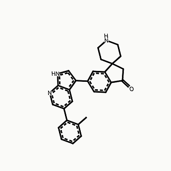 Cc1ccccc1-c1cnc2[nH]cc(-c3ccc4c(c3)C3(CCNCC3)CC4=O)c2c1